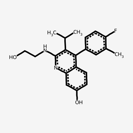 Cc1cc(-c2c(C(C)C)c(NCCO)nc3cc(O)ccc23)ccc1F